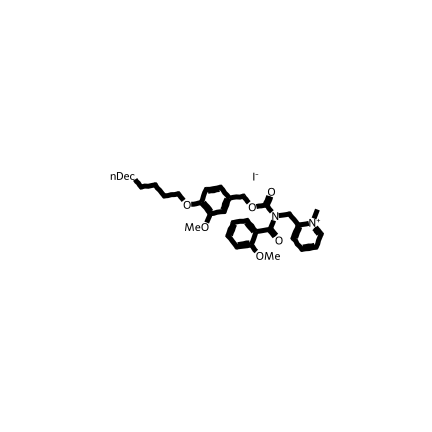 CCCCCCCCCCCCCCOc1ccc(COC(=O)N(Cc2cccc[n+]2C)C(=O)c2ccccc2OC)cc1OC.[I-]